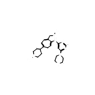 CNCC1=CC=C(C2CCN(C)CC2)CC=C1Nc1cc(N2CCOCC2)ncn1